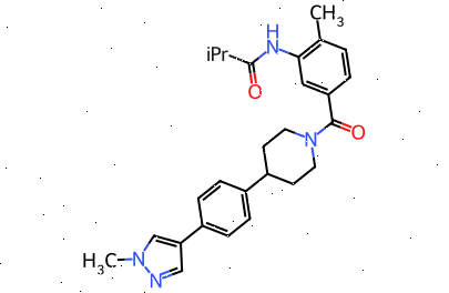 Cc1ccc(C(=O)N2CCC(c3ccc(-c4cnn(C)c4)cc3)CC2)cc1NC(=O)C(C)C